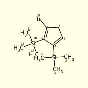 C[Si](C)(C)C1=CC[C]([Ti])=C1[Si](C)(C)C